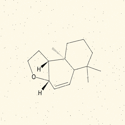 CC1(C)CCC[C@@]2(C)C1C=C[C@@H]1OCC[C@@H]12